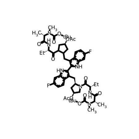 CC[C@H](NC(=O)[C@H](C)N(C)C(=O)OC(C)(C)C)C(=O)C1C[C@@H](OC(C)=O)CC1Cc1c(-c2[nH]c3cc(F)ccc3c2C[C@@H]2C[C@H](OC(C)=O)CN2C(=O)[C@H](CC)NC(=O)[C@H](C)N(C)C(=O)OC(C)(C)C)[nH]c2cc(F)ccc12